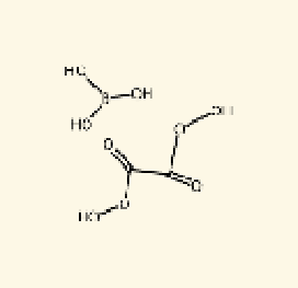 O=C(OO)C(=O)OO.OB(O)O